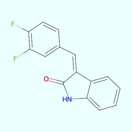 O=C1Nc2ccccc2/C1=C/c1ccc(F)c(F)c1